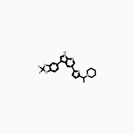 CC(c1ccc(-c2cnc3[nH]cc(-c4ccc5c(c4)OC(F)(F)O5)c3c2)s1)N1CCCCC1